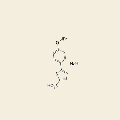 CC(C)Oc1ccc(-c2ccc(S(=O)(=O)O)s2)cc1.[NaH]